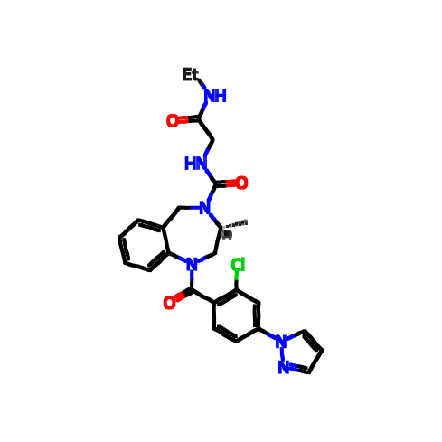 CCNC(=O)CNC(=O)N1Cc2ccccc2N(C(=O)c2ccc(-n3cccn3)cc2Cl)C[C@H]1C